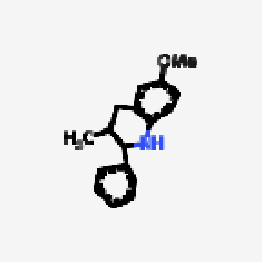 COc1ccc2c(c1)CC(C)C(c1ccccc1)N2